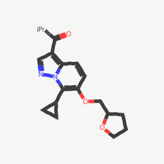 CC(C)C(=O)c1cnn2c(C3CC3)c(OCC3CCCO3)ccc12